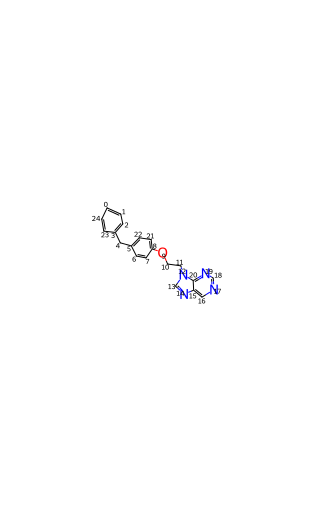 c1ccc(Cc2ccc(OCCn3cnc4cncnc43)cc2)cc1